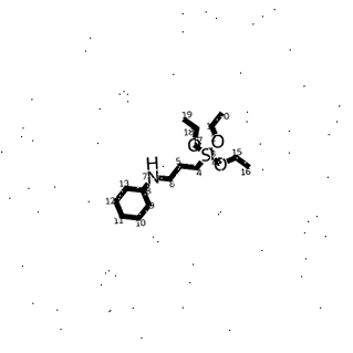 CCO[Si](CCCNC1CCCCC1)(OCC)OCC